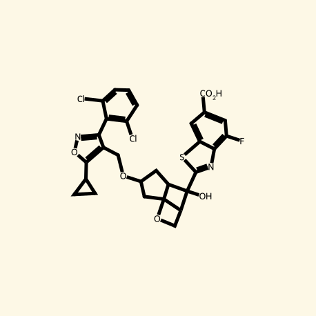 O=C(O)c1cc(F)c2nc(C3(O)C4COC45CC(OCc4c(-c6c(Cl)cccc6Cl)noc4C4CC4)CC53)sc2c1